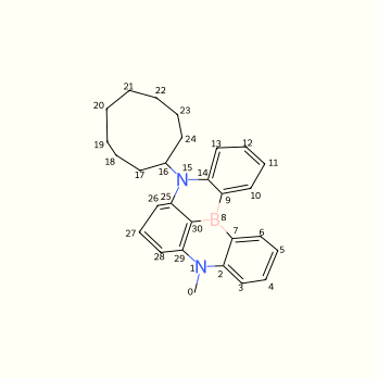 CN1c2ccccc2B2c3ccccc3N(C3CCCCCCCC3)c3cccc1c32